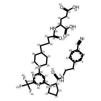 N#Cc1ccc(CCNC(=O)[C@@H]2CCCN2c2cc(N3CCC(CCCC(=O)NC(CCC(=O)O)C(=O)O)CC3)nc(C(F)(F)F)n2)cc1